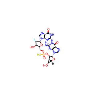 Nc1nc2c(ncn2[C@@H]2O[C@@H]3C(O)C3[C@H]2OP(=O)(S)OC[C@H]2O[C@@H](n3cnc4c(=O)[nH]cnc43)[C@@H](F)[C@@H]2O)c(=O)[nH]1